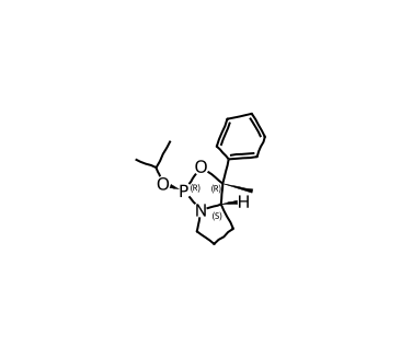 CC(C)O[P@@]1O[C@](C)(c2ccccc2)[C@@H]2CCCN21